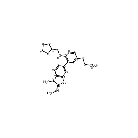 CN=c1sc2cc(-c3cc(CCC(=O)O)ccc3OCC3CCCC3)ccc2n1C